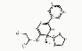 CCC(C)NC1=CC=C(c2cncnc2)NC1(N)C1CCCC1